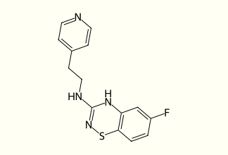 Fc1ccc2c(c1)NC(NCCc1ccncc1)=NS2